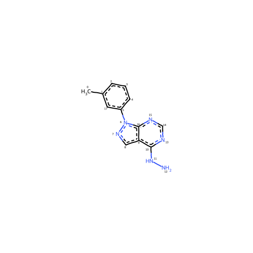 Cc1cccc(-n2ncc3c(NN)ncnc32)c1